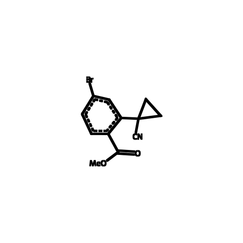 COC(=O)c1ccc(Br)cc1C1(C#N)CC1